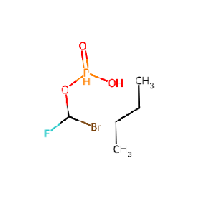 CCCC.O=[PH](O)OC(F)Br